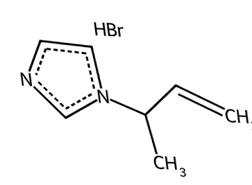 Br.C=CC(C)n1ccnc1